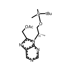 CC(=O)OCc1nc2cncnc2n1[C@@H](C)CO[Si](C)(C)C(C)(C)C